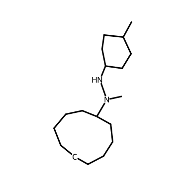 CC1CCC(NN(C)C2CCCCCCCCC2)CC1